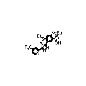 CCSc1cc(SC(C)(C)C)c([N+](C)([O-])O)cc1-c1nnc(-c2cc(C(F)(F)F)ccn2)n1C